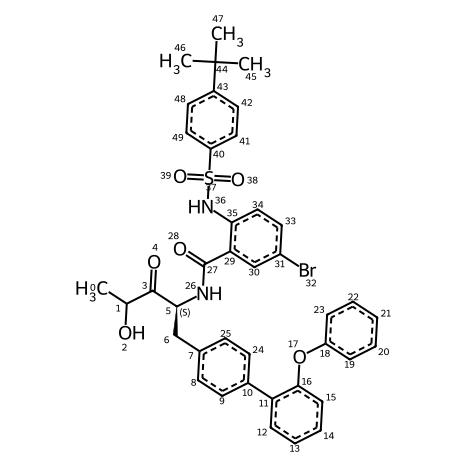 CC(O)C(=O)[C@H](Cc1ccc(-c2ccccc2Oc2ccccc2)cc1)NC(=O)c1cc(Br)ccc1NS(=O)(=O)c1ccc(C(C)(C)C)cc1